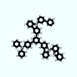 c1ccc(-c2cccc(-n3c4ccccc4c4cc(-c5cc(-c6ccc(N(c7ccccc7)c7ccccc7)cc6)cc(-c6ccc7c(c6)c6ccccc6n7-c6cccc7c6sc6ccccc67)c5)ccc43)c2)cc1